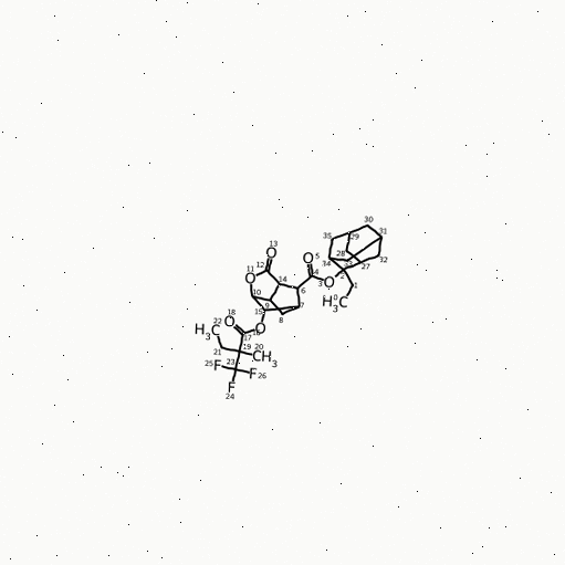 CCC1(OC(=O)C2C3CC4C(OC(=O)C42)C3OC(=O)C(C)(CC)C(F)(F)F)C2CC3CC(C2)CC1C3